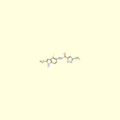 Cc1cc(C(=O)NCc2ccc3[nH]c(C)cc3c2F)on1